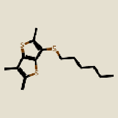 CCCCCCSc1c(C)sc2c(C)c(C)sc12